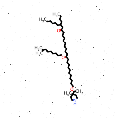 C=C(C)CCCCCCCOC(CCCCCCCCCCCOC(=C)C1(C)CCNCC1)CCCCCCCCCC(=O)CC(CCCC)CCCCCC